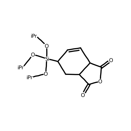 CC(C)O[Si](OC(C)C)(OC(C)C)C1C=CC2C(=O)OC(=O)C2C1